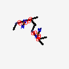 CCCCCC/C=C\COC(=O)CCCN(CCCC(=O)OC(CCCCCC)CCCCCCC(C)CCCC/C=C\COC(=O)CCCN(CC(=O)OC(CCCCCCC)CCCCCCC)C(=O)SCCCN(CC)CC)C(=O)SCCN(C)C